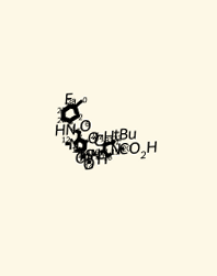 Cc1cc(NC(=O)c2c3c(cn2C)S(=O)(=O)N[C@@H]2CN(C(=O)O)C(C(C)(C)C)[C@H]2CO3)ccc1F